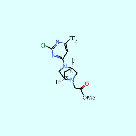 COC(=O)CN1C[C@H]2C[C@@H]1CN2c1cc(C(F)(F)F)nc(Cl)n1